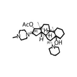 CC(=O)O[C@H]1[C@@H](N2CCN(C)CC2)C[C@H]2[C@@H]3C[C@@H](N4CCCCC4)[C@@]4(O)CCCC[C@]4(C)[C@H]3CC[C@@]21C